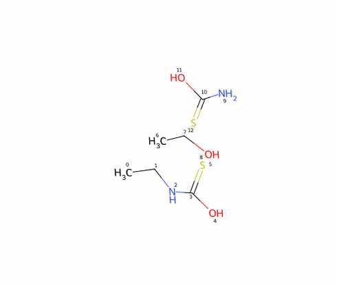 CCNC(O)=S.CCO.NC(O)=S